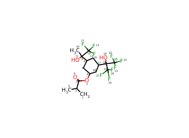 CC(C)C(=O)OC1CC(C(C)(O)C(F)(F)F)CC(C(O)(C(F)(F)F)C(F)(F)F)C1